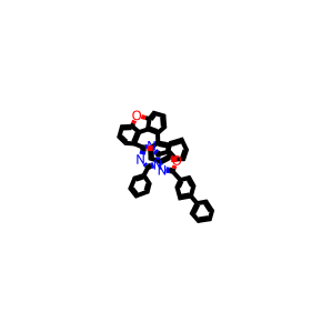 c1ccc(-c2ccc(-c3nc4ccc(-c5cccc6oc7cccc(-c8nc(-c9ccccc9)nc(-c9ccccc9)n8)c7c56)cc4o3)cc2)cc1